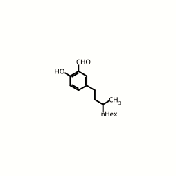 CCCCCCC(C)CCc1ccc(O)c(C=O)c1